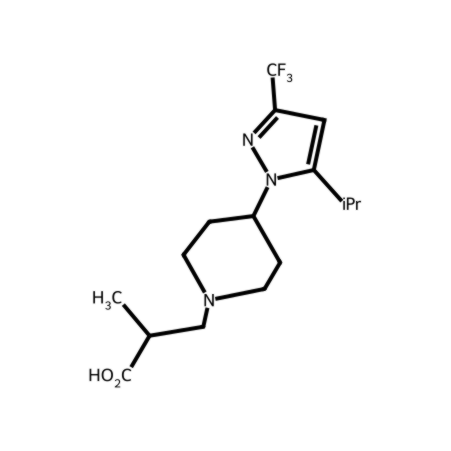 CC(CN1CCC(n2nc(C(F)(F)F)cc2C(C)C)CC1)C(=O)O